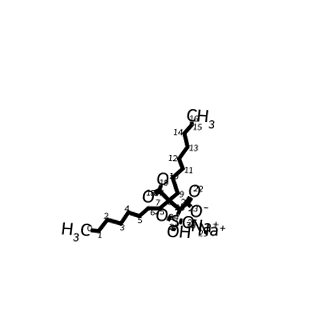 CCCCCCCCC(CCCCCCCC)(C(=O)[O-])C(C(=O)[O-])S(=O)(=O)O.[Na+].[Na+]